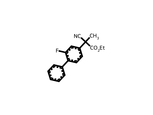 CCOC(=O)C(C)(C#N)c1ccc(-c2ccccc2)c(F)c1